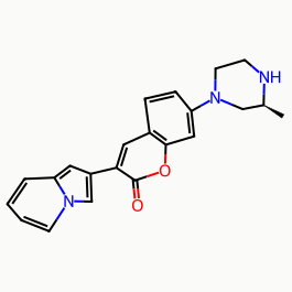 C[C@H]1CN(c2ccc3cc(-c4cc5ccccn5c4)c(=O)oc3c2)CCN1